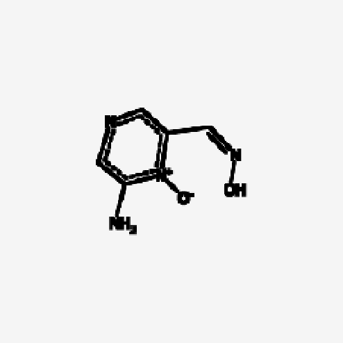 Nc1cncc(/C=N\O)[n+]1[O-]